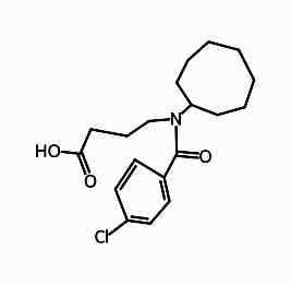 O=C(O)CCCN(C(=O)c1ccc(Cl)cc1)C1CCCCCCC1